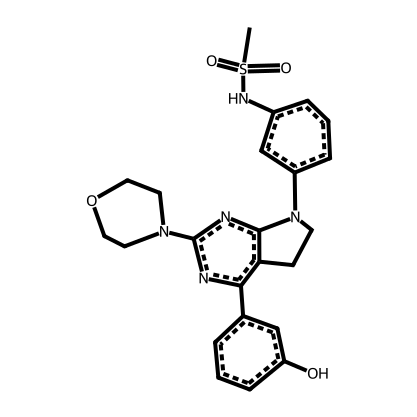 CS(=O)(=O)Nc1cccc(N2CCc3c(-c4cccc(O)c4)nc(N4CCOCC4)nc32)c1